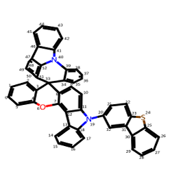 c1ccc2c(c1)Oc1c(ccc3c1c1ccccc1n3-c1ccc3sc4ccccc4c3c1)C21c2ccccc2-n2c3ccccc3c3cccc1c32